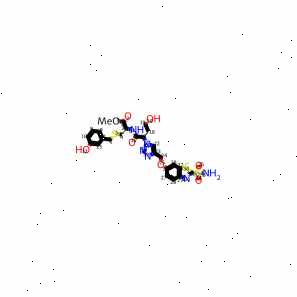 COC(=O)[C@@H](CSCc1cccc(O)c1)NC(=O)[C@H](CCO)n1cc(COc2ccc3nc(S(N)(=O)=O)sc3c2)nn1